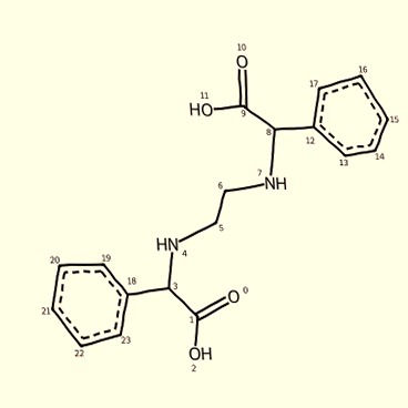 O=C(O)C(NCCNC(C(=O)O)c1ccccc1)c1ccccc1